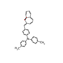 Cc1ccc(N(c2ccc(C)cc2)c2ccc(C=C3C=CC=C4C=CC=CC45CC=CC=C35)cc2)cc1